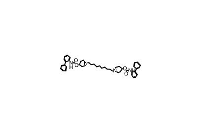 O=C(Nc1ccccc1-c1ccccc1)OC1CCN(CCCCCCCCCCN2CCC(OC(=O)Nc3ccccc3-c3ccccc3)CC2)CC1